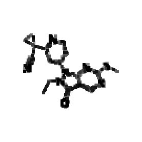 CCn1c(=O)c2cnc(SC)nc2n1-c1ccnc(C2(C#N)CC2)c1